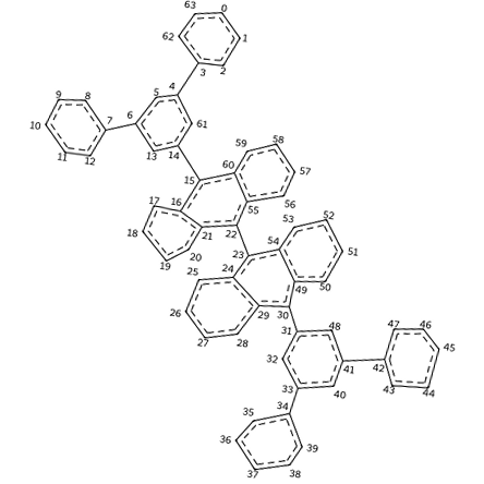 c1ccc(-c2cc(-c3ccccc3)cc(-c3c4ccccc4c(-c4c5ccccc5c(-c5cc(-c6ccccc6)cc(-c6ccccc6)c5)c5ccccc45)c4ccccc34)c2)cc1